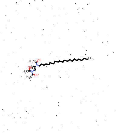 CCCCCCCCCCCCCCCCCCCCCCN(C(C)O)C(C)CN(C(C)O)C(C)O